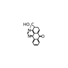 O=C1C2=CCC(C(=O)O)c3ncnc(c32)-c2ccccc21